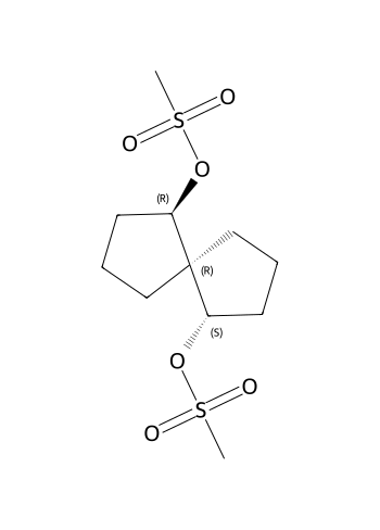 CS(=O)(=O)O[C@H]1CCC[C@@]12CCC[C@H]2OS(C)(=O)=O